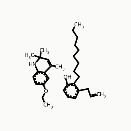 C=CCc1cccc(O)c1CCCCCCCCC.CCOc1ccc2c(c1)C(C)=CC(C)(C)N2